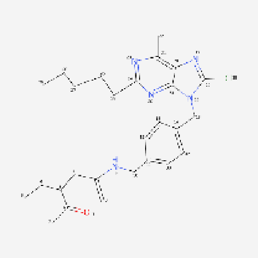 C=C(CC(CC)C(C)=O)NCc1ccc(Cn2c(Cl)nc3c(C)nc(CCCCC)nc32)cc1